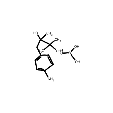 CC(C)(O)C(C)(O)Cc1ccc(N)cc1.OB(O)O